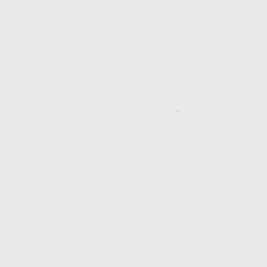 Cl.O=[N+]([O-])c1ccc(S(=O)(=O)O)cc1Cl